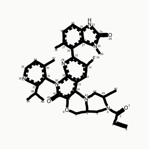 C=CC(=O)N1CC2COc3c(c4cc(F)c(-c5c(C)ccc6[nH]c(=O)n(C)c56)nc4n(-c4c(C)ccnc4C(C)C)c3=O)N2CC1C